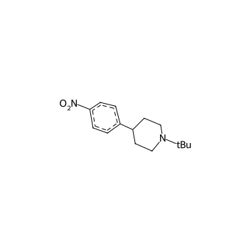 CC(C)(C)N1CCC(c2ccc([N+](=O)[O-])cc2)CC1